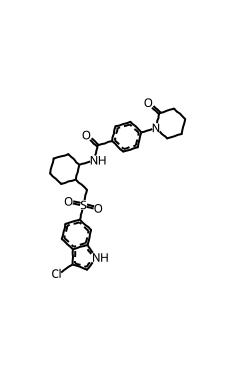 O=C(NC1CCCCC1CS(=O)(=O)c1ccc2c(Cl)c[nH]c2c1)c1ccc(N2CCCCC2=O)cc1